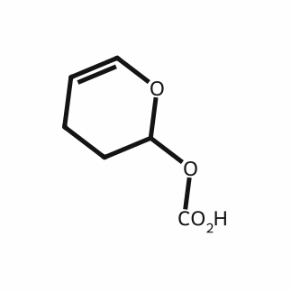 O=C(O)OC1CCC=CO1